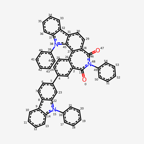 O=c1c2cc(-c3ccc4c5ccccc5n(-c5ccccc5)c4c3)ccc2c2c(ccc3c4ccccc4n(-c4ccccc4)c32)c(=O)n1-c1ccccc1